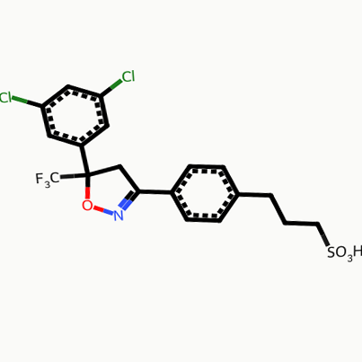 O=S(=O)(O)CCCc1ccc(C2=NOC(c3cc(Cl)cc(Cl)c3)(C(F)(F)F)C2)cc1